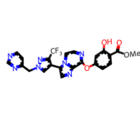 COC(=O)c1ccc(Oc2nccn3c(-c4cn(Cc5ccncn5)nc4C(F)(F)F)cnc23)cc1O